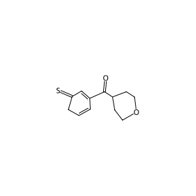 O=C(C1=CC(=S)CC=C1)C1CCOCC1